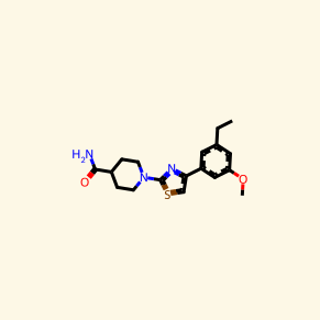 CCc1cc(OC)cc(-c2csc(N3CCC(C(N)=O)CC3)n2)c1